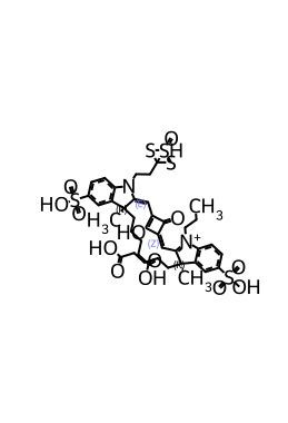 CCC[N+]1=C(/C=C2\C(=O)C(/C=C3/N(CCC45S[SH]4(=O)S5)c4ccc(S(=O)(=O)O)cc4[C@@]3(C)CCCCC(=O)O)=C2O)[C@](C)(CCCCC(=O)O)c2cc(S(=O)(=O)O)ccc21